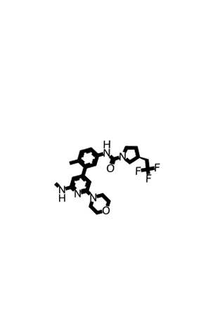 CNc1cc(-c2cc(NC(=O)N3CC[C@@H](CC(F)(F)F)C3)ccc2C)cc(N2CCOCC2)n1